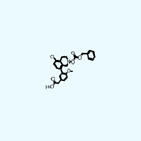 COc1ccc(CC(=O)O)cc1-c1ccc(Cl)c2c1CN(OC(=O)OCc1ccccc1)CC2